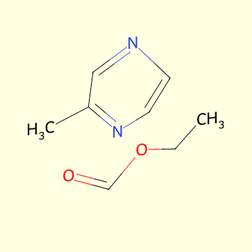 CCOC=O.Cc1cnccn1